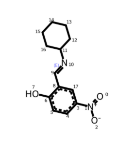 O=[N+]([O-])c1ccc(O)c(/C=N/C2CCCCC2)c1